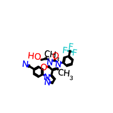 Cc1c(-c2ccnn2-c2ccc(C#N)cc2)c(=O)n([C@@H](C)CO)c(=O)n1-c1cccc(C(F)(F)F)c1